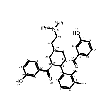 Cc1c(F)cccc1C1[C@@H](C(=O)c2cccc(O)c2)CN(CCN(C(C)C)C(C)C)C[C@@H]1C(=O)c1cccc(O)c1